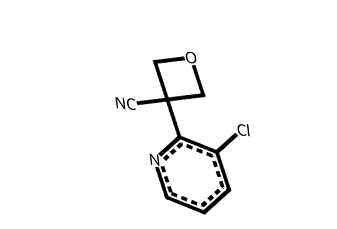 N#CC1(c2ncccc2Cl)COC1